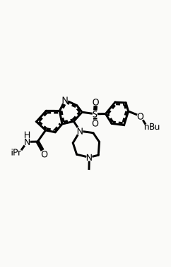 CCCCOc1ccc(S(=O)(=O)c2cnc3ccc(C(=O)NC(C)C)cc3c2N2CCCN(C)CC2)cc1